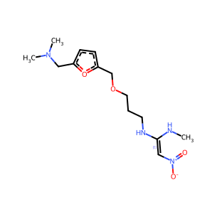 CN/C(=C\[N+](=O)[O-])NCCCOCc1ccc(CN(C)C)o1